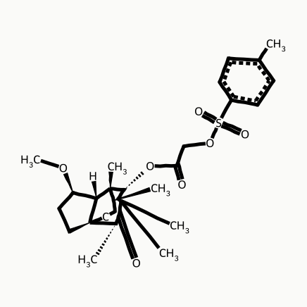 CO[C@@H]1CC[C@@]23CC[C@@H](C)[C@@](C)([C@H](OC(=O)COS(=O)(=O)c4ccc(C)cc4)CC(C)(C)C(=O)[C@@H]2C)[C@@H]13